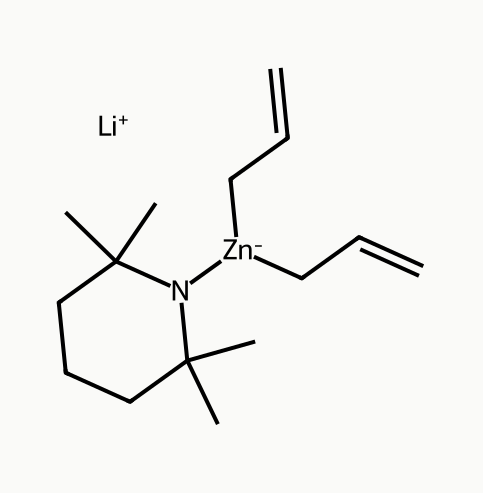 C=C[CH2][Zn-]([CH2]C=C)[N]1C(C)(C)CCCC1(C)C.[Li+]